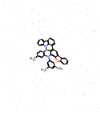 CCCCc1cc(C)cc(N2c3cc(C)ccc3B3c4c(cc5c(oc6ccccc65)c42)-c2cccc4c5ccccc5n3c24)c1